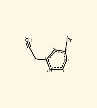 C#CCc1cc(C(C)C)ccn1